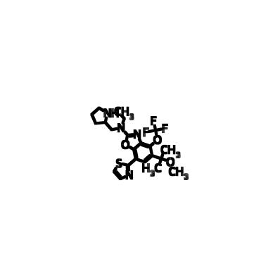 CCN(CC1CCCN1)c1nc2c(OC(F)(F)F)c(C(C)(C)OC)cc(-c3nccs3)c2o1